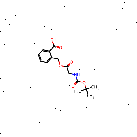 CC(C)(C)OC(=O)NCC(=O)OCc1ccccc1C(=O)O